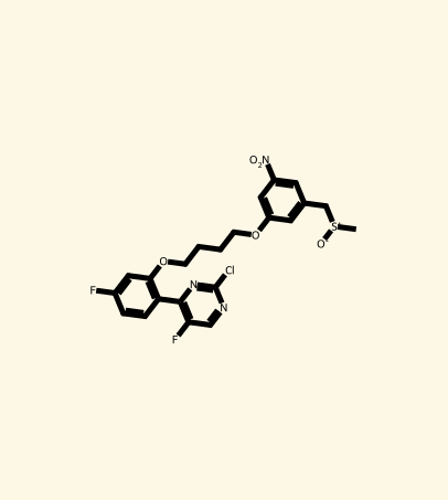 C[S+]([O-])Cc1cc(OCCCCOc2cc(F)ccc2-c2nc(Cl)ncc2F)cc([N+](=O)[O-])c1